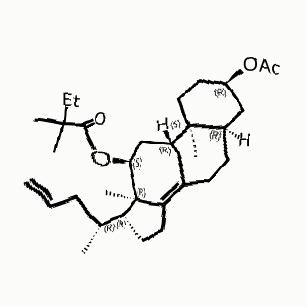 C=CC[C@@H](C)[C@H]1CCC2=C3CC[C@@H]4C[C@H](OC(C)=O)CC[C@]4(C)[C@H]3C[C@H](OC(=O)C(C)(C)CC)[C@@]21C